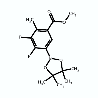 COC(=O)c1cc(B2OC(C)(C)C(C)(C)O2)c(F)c(F)c1C